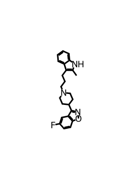 Cc1[nH]c2ccccc2c1CCCN1CCC(c2noc3ccc(F)cc23)CC1